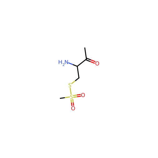 CC(=O)C(N)CSS(C)(=O)=O